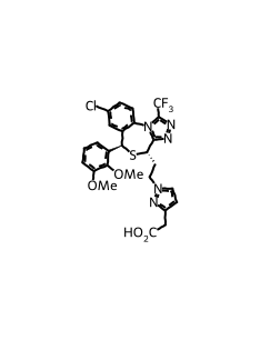 COc1cccc([C@@H]2S[C@@H](CCn3ccc(CC(=O)O)n3)c3nnc(C(F)(F)F)n3-c3ccc(Cl)cc32)c1OC